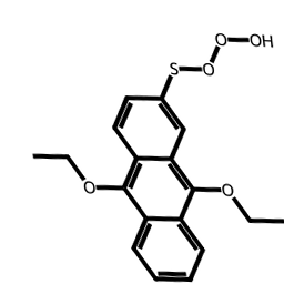 CCOc1c2ccccc2c(OCC)c2cc(SOOO)ccc12